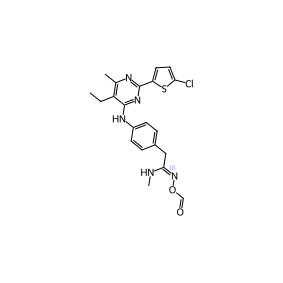 CCc1c(C)nc(-c2ccc(Cl)s2)nc1Nc1ccc(C/C(=N/OC=O)NC)cc1